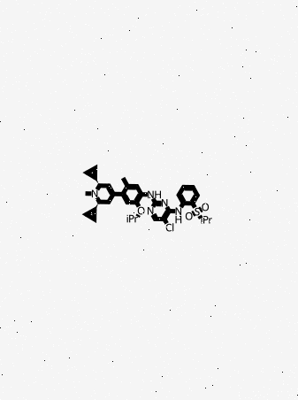 Cc1cc(Nc2ncc(Cl)c(Nc3ccccc3S(=O)(=O)C(C)C)n2)c(OC(C)C)cc1C1=C[C@@H](C2CC2)N(C)[C@@H](C2CC2)C1